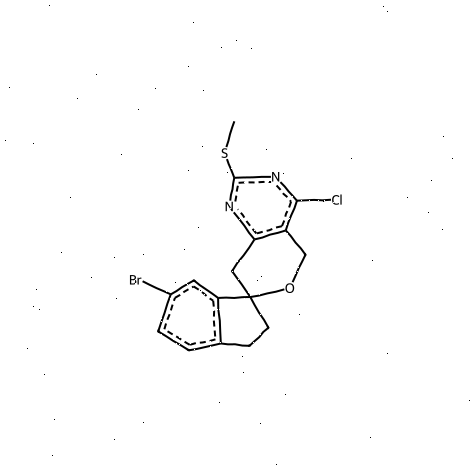 CSc1nc(Cl)c2c(n1)CC1(CCc3ccc(Br)cc31)OC2